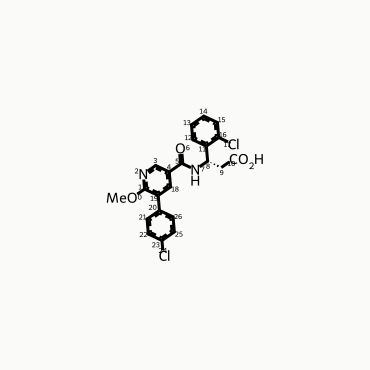 COc1ncc(C(=O)N[C@@H](CC(=O)O)c2ccccc2Cl)cc1-c1ccc(Cl)cc1